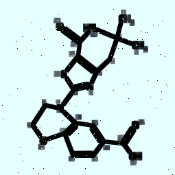 CC1(C)Cc2nc(N3CCOc4ccc(C(=O)O)cc43)sc2C(=O)N1